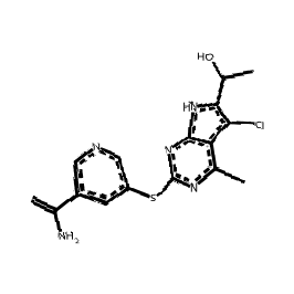 C=C(N)c1cncc(Sc2nc(C)c3c(Cl)c(C(C)O)[nH]c3n2)c1